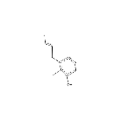 CC=CCc1[c]ccc(O)c1C